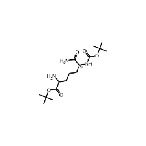 CC(C)(C)OC(=O)N[C@@H](CCCC(N)C(=O)OC(C)(C)C)C(N)=O